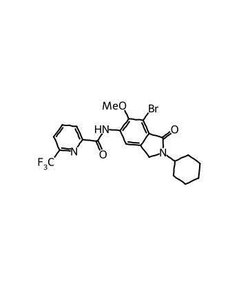 COc1c(NC(=O)c2cccc(C(F)(F)F)n2)cc2c(c1Br)C(=O)N(C1CCCCC1)C2